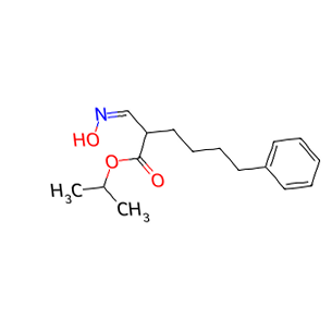 CC(C)OC(=O)C(/C=N\O)CCCCc1ccccc1